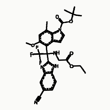 CCOC(=O)CNC(c1nc2cc(C#N)ccc2[nH]1)(c1c(OC)cc(C)c2c1ccn2C(=O)OC(C)(C)C)C(F)(F)F